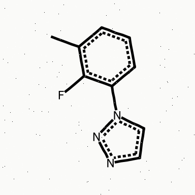 Cc1cccc(-n2ccnn2)c1F